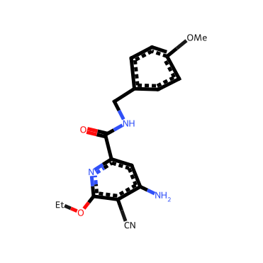 CCOc1nc(C(=O)NCc2ccc(OC)cc2)cc(N)c1C#N